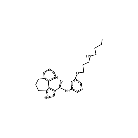 CCCCNCCCOc1cccc(NC(=O)c2c[nH]c3c2-c2ncccc2CCC3)n1